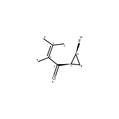 CC(C)=C(C)C(=O)[C@@H]1C[C@@H]1F